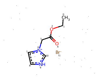 CCOC(=O)C[n+]1cc[nH]c1.[Br-]